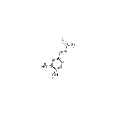 CCC(=O)/C=C/c1ccc(O)c(O)c1